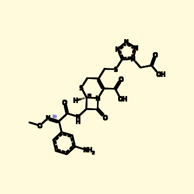 CO/N=C(/C(=O)NC1C(=O)N2C(C(=O)O)=C(CSc3nnnn3CC(=O)O)CS[C@H]12)c1cccc(N)c1